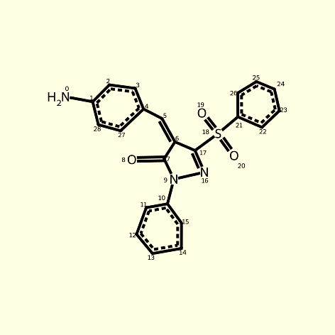 Nc1ccc(/C=C2\C(=O)N(c3ccccc3)N=C2S(=O)(=O)c2ccccc2)cc1